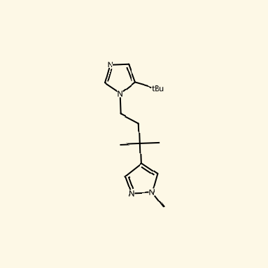 Cn1cc(C(C)(C)CCn2cncc2C(C)(C)C)cn1